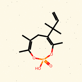 C=CC(C)(C)/C1=C(\C)OP(=O)(O)O/C(C)=C(/C)C1